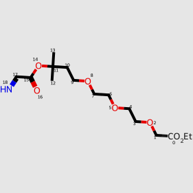 CCOC(=O)COCCOCCOCCC(C)(C)OC(=O)C=N